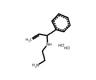 C=CC(NCCN)c1ccccc1.Cl.Cl